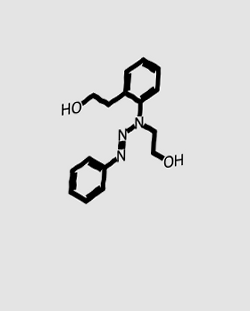 OCCc1ccccc1N(CCO)N=Nc1ccccc1